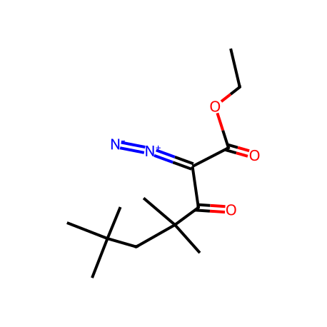 CCOC(=O)C(=[N+]=[N-])C(=O)C(C)(C)CC(C)(C)C